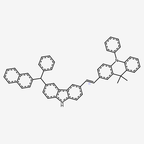 CC1(C)c2ccccc2N(c2ccccc2)c2ccc(/C=C/c3ccc4[nH]c5ccc(C(c6ccccc6)c6ccc7ccccc7c6)cc5c4c3)cc21